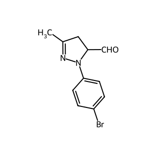 CC1=NN(c2ccc(Br)cc2)C(C=O)C1